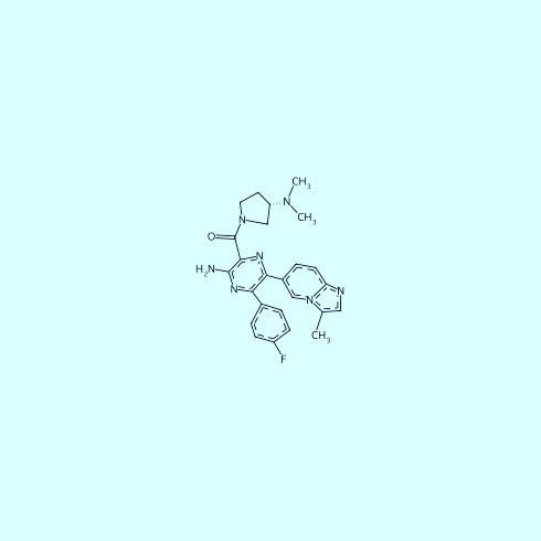 Cc1cnc2ccc(-c3nc(C(=O)N4CC[C@H](N(C)C)C4)c(N)nc3-c3ccc(F)cc3)cn12